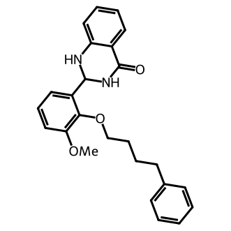 COc1cccc(C2NC(=O)c3ccccc3N2)c1OCCCCc1ccccc1